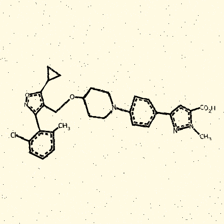 Cc1cccc(Cl)c1-c1noc(C2CC2)c1COC1CCN(c2ccc(-c3cc(C(=O)O)n(C)n3)cc2)CC1